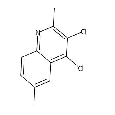 Cc1ccc2nc(C)c(Cl)c(Cl)c2c1